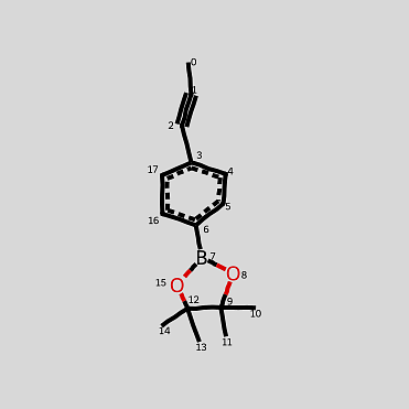 CC#Cc1ccc(B2OC(C)(C)C(C)(C)O2)cc1